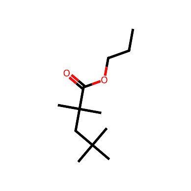 CCCOC(=O)C(C)(C)CC(C)(C)C